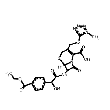 CCOC(=O)c1ccc(C(O)C(=O)NC2C(=O)N3C(C(=O)O)=C(CSc4nnnn4C)CS[C@H]23)cc1